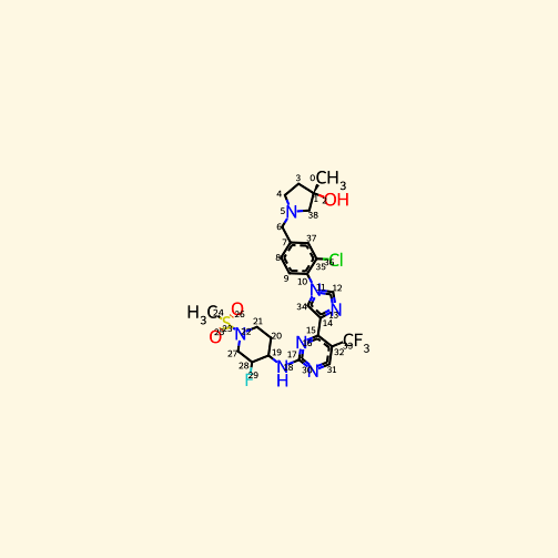 C[C@]1(O)CCN(Cc2ccc(-n3cnc(-c4nc(NC5CCN(S(C)(=O)=O)CC5F)ncc4C(F)(F)F)c3)c(Cl)c2)C1